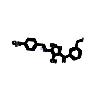 N#Cc1c(Nc2cccc(CI)c2)n[nH]c1/N=C/c1ccc([N+](=O)[O-])cc1